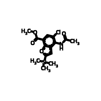 COC(=O)c1cc(Cl)c(NC(C)=O)c2cc([Si](C)(C)C)oc12